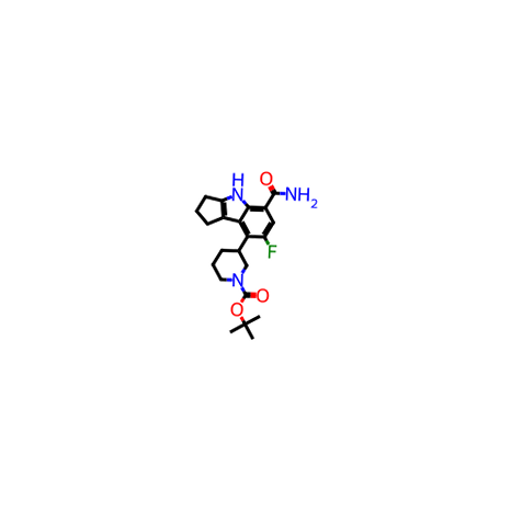 CC(C)(C)OC(=O)N1CCCC(c2c(F)cc(C(N)=O)c3[nH]c4c(c23)CCC4)C1